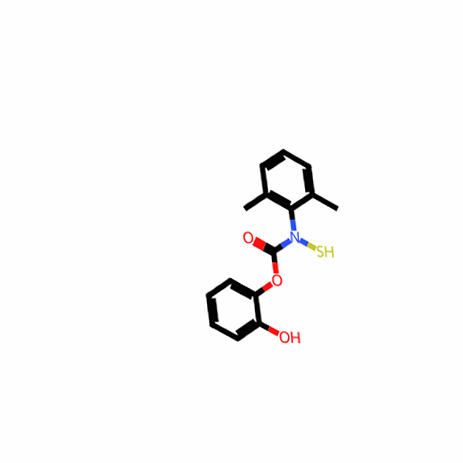 Cc1cccc(C)c1N(S)C(=O)Oc1ccccc1O